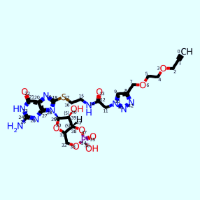 C#CCOCCOCc1cn(CC(=O)NCCSc2nc3c(=O)[nH]c(N)nc3n2[C@@H]2OC3COP(=O)(O)O[C@H]3[C@@H]2O)nn1